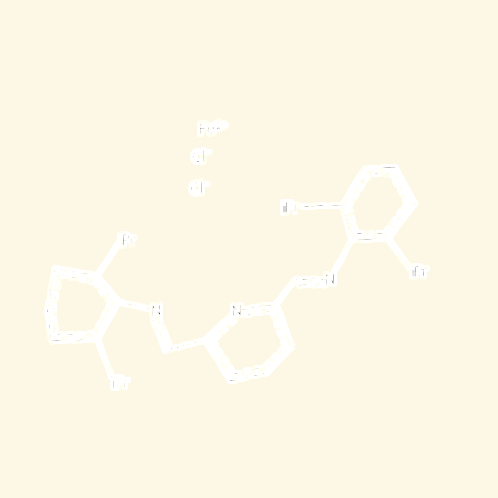 CC(C)c1cccc(C(C)C)c1N=Cc1cccc(C=Nc2c(C(C)C)cccc2C(C)C)n1.[Cl-].[Cl-].[Fe+2]